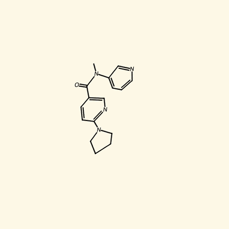 CN(C(=O)c1ccc(N2CCCC2)nc1)c1cccnc1